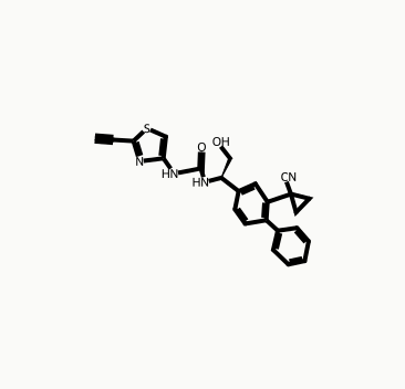 C#Cc1nc(NC(=O)N[C@@H](CO)c2ccc(-c3ccccc3)c(C3(C#N)CC3)c2)cs1